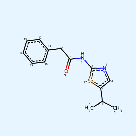 CC(C)c1cnc(NC(=O)Cc2ccccc2)s1